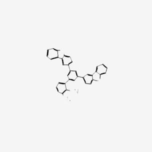 N#Cc1cccc(-c2cc(-c3ccc4sc5ccccc5c4c3)cc(-c3ccc4sc5ccccc5c4c3)c2)c1C#N